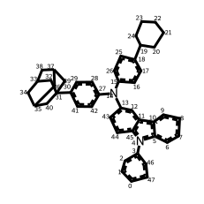 c1ccc(-n2c3ccccc3c3cc(N(c4ccc(C5CCCCC5)cc4)c4ccc(C56CC7CC(CC(C7)C5)C6)cc4)ccc32)cc1